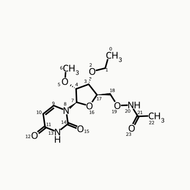 CCO[C@H]1[C@@H](OC)[C@H](n2ccc(=O)[nH]c2=O)O[C@@H]1CONC(C)=O